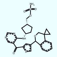 NS(=O)(=O)OC[C@@H]1CC[C@H](Nc2ncncc2C(=O)c2cc(C3OCC4(CC4)c4ccccc43)cs2)C1